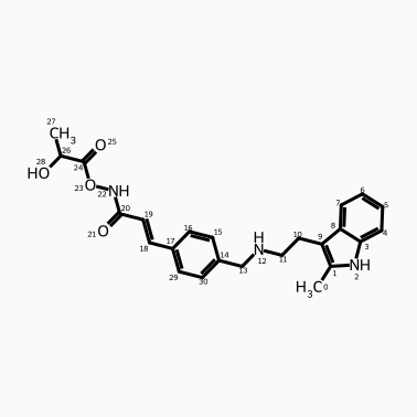 Cc1[nH]c2ccccc2c1CCNCc1ccc(C=CC(=O)NOC(=O)C(C)O)cc1